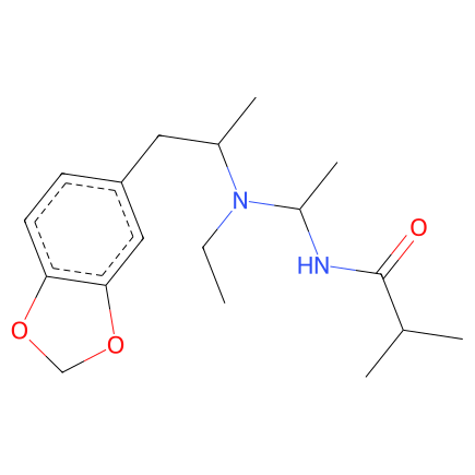 CCN(C(C)Cc1ccc2c(c1)OCO2)C(C)NC(=O)C(C)C